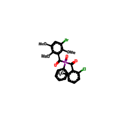 COc1cc(Br)c(OC)c(C(=O)P(=O)(C(=O)c2c(C)cccc2Cl)c2ccccc2)c1OC